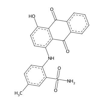 Cc1ccc(Nc2ccc(O)c3c2C(=O)c2ccccc2C3=O)c(S(N)(=O)=O)c1